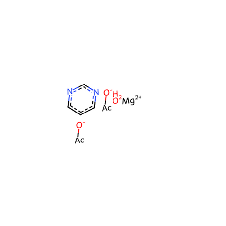 CC(=O)[O-].CC(=O)[O-].O.[Mg+2].c1cncnc1